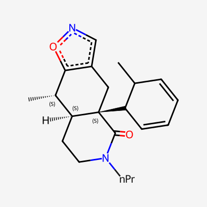 CCCN1CC[C@H]2[C@H](C)c3oncc3C[C@]2(C2C=CC=CC2C)C1=O